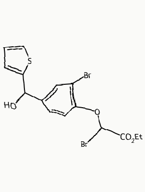 CCOC(=O)C(Br)Oc1ccc(C(O)c2cccs2)cc1Br